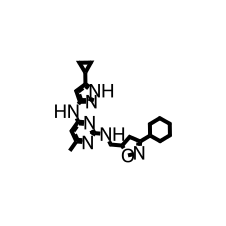 Cc1cc(Nc2cc(C3CC3)[nH]n2)nc(NCC2CC(C3CCCCC3)=NO2)n1